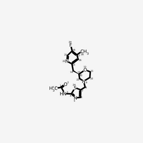 CC(=O)Nc1ncc(CN2CCO[C@H](Cc3cc(C)c(F)cn3)C2)s1